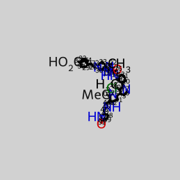 COc1nc(-c2ccnc(-c3cccc(NC(=O)c4nc5c(n4C)CCN(CCC46CCC(C(=O)O)(CC4)C6)C5)c3C)c2Cl)ccc1CNCC1CCC(=O)N1